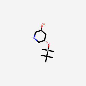 CC(C)(C)[Si](C)(C)O[C@@H]1CNC[C@@H](O)C1